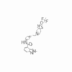 Cn1cc2c(C(=O)N[C@H]3CC[C@H](CCN4CCc5sc(OCC(C)(F)F)nc5C4)C3)cccc2n1